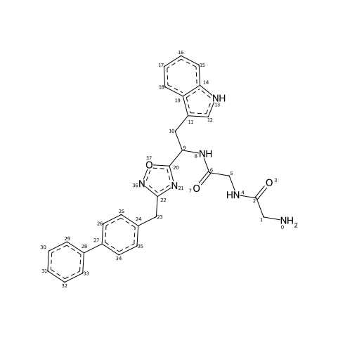 NCC(=O)NCC(=O)NC(Cc1c[nH]c2ccccc12)c1nc(Cc2ccc(-c3ccccc3)cc2)no1